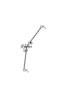 CCCCCCCCCCCCCCCCCC(=O)OCCC(O)C(C)(N)CCOC(=O)CCCCCCCCCCCCCCCCC